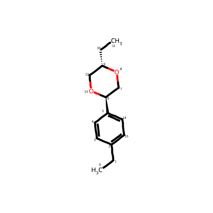 CCc1ccc([C@@H]2CO[C@@H](CC)CO2)cc1